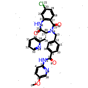 COc1ccc(NC(=O)c2ccc(CN3C(=O)c4ccc(Cl)cc4NC(=O)[C@H]3Cc3ccccn3)cc2)nc1